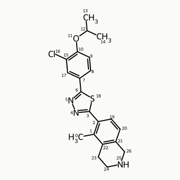 Cc1c(-c2nnc(-c3ccc(OC(C)C)c(Cl)c3)s2)ccc2c1CCNC2